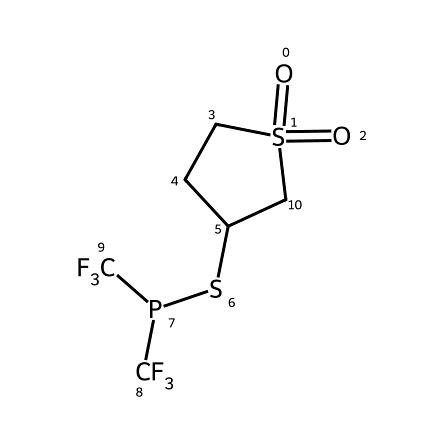 O=S1(=O)CCC(SP(C(F)(F)F)C(F)(F)F)C1